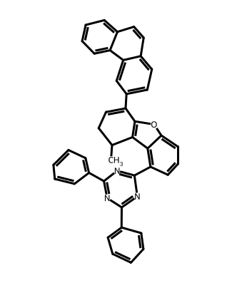 CC1CC=C(c2ccc3ccc4ccccc4c3c2)c2oc3cccc(-c4nc(-c5ccccc5)nc(-c5ccccc5)n4)c3c21